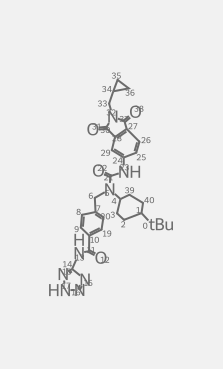 CC(C)(C)C1CCC(N(Cc2ccc(C(=O)Nc3nn[nH]n3)cc2)C(=O)Nc2ccc3c(c2)C(=O)N(CC2CC2)C3=O)CC1